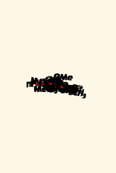 CCC/C=C/C=C/C(=O)O[C@@H](/C(=C/C(=O)OC)CC)[C@@](O)(OC)C(C)(C)/C=C/[C@H]1C/C(=C\C(=O)OC)C[C@@H](CC2(O)O[C@H](C[C@@H](O)CC(=O)O[C@H](CC)[C@@H](C)O)C[C@H](OC(C)=O)C2(C)C)O1